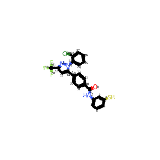 O=C(Nc1cccc(S)c1)c1ccc(-c2cc(C(F)(F)F)nn2-c2ccccc2Cl)cc1